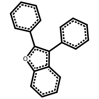 c1ccc(-c2oc3ccccc3c2-c2ccccc2)cc1